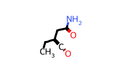 CCC(=C=O)CC(N)=O